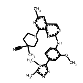 COc1cc(-c2nnc(C)n2C)ccc1Nc1ncc2cc(C)nc(N3CCC(C)(C#N)CC3)c2n1